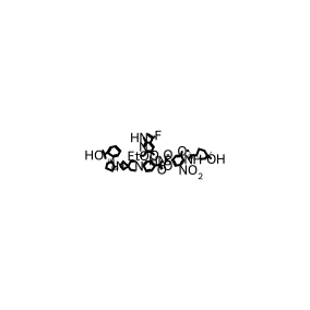 CCOc1nc2[nH]cc(F)c2cc1Oc1cc(N2CCC3(CC2)CN([C@H]2CCC[C@H]2c2ccccc2C(C)(C)O)C3)ccc1C(=O)NS(=O)(=O)c1cc2c(c([N+](=O)[O-])c1)N[C@@H]([C@H]1CC[C@](C)(O)CC1)CO2